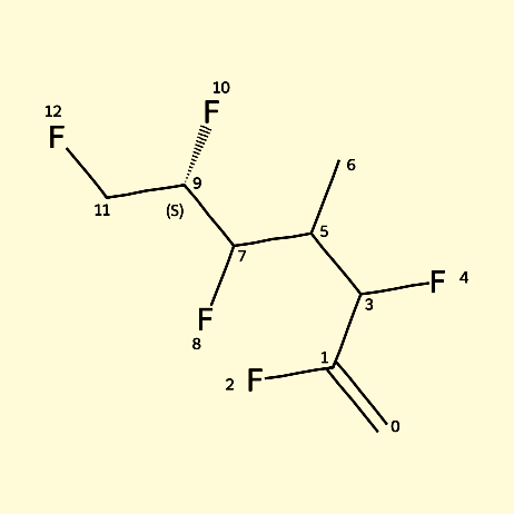 C=C(F)C(F)C(C)C(F)[C@@H](F)CF